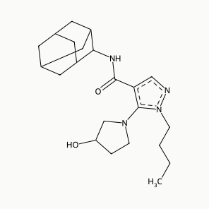 CCCCn1ncc(C(=O)NC2C3CC4CC(C3)CC2C4)c1N1CCC(O)C1